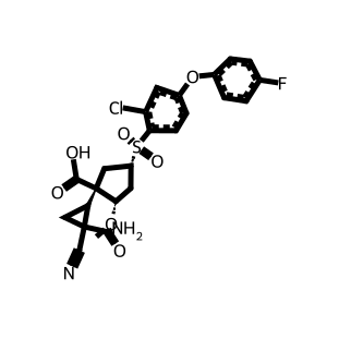 CO[C@H]1C[C@@H](S(=O)(=O)c2ccc(Oc3ccc(F)cc3)cc2Cl)C[C@]1(C(=O)O)C1CC1(C#N)C(N)=O